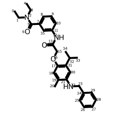 CCN(CC)C(=O)c1cccc(NC(=O)COc2cc(C)c(NCc3ccccc3)cc2C(C)C)c1